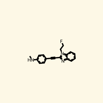 CNc1ccc(C#Cc2nc3ccccc3n2CCF)cc1